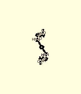 COC(=O)NC(C(=O)N1CCC[C@H]1c1nc(C#Cc2ccc(C#Cc3cnc([C@@H]4CCCN4C(=O)[C@@H](NC(=O)OC)C(C)C)[nH]3)cc2)c[nH]1)C(C)C